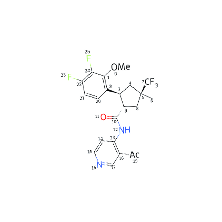 COc1c([C@H]2C[C@@](C)(C(F)(F)F)C[C@@H]2C(=O)Nc2ccncc2C(C)=O)ccc(F)c1F